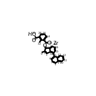 CC1=Cc2c(-c3cccc4ccccc34)cccc2C1OC(=O)c1cccc(C(=O)O)c1C.[Zr]